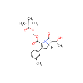 Cc1cccc(C2=C(C(=O)OCOC(=O)C(C)(C)C)N3C(=O)[C@H]([C@@H](C)O)[C@H]3C2)c1